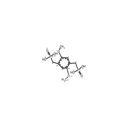 COc1cc(CP(=O)(O)O)c(OC)cc1CP(=O)(O)O